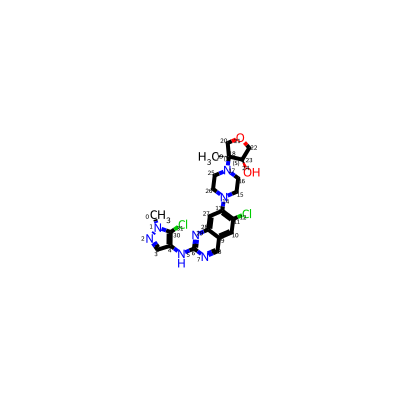 Cn1ncc(Nc2ncc3cc(Cl)c(N4CCN([C@@]5(C)COC[C@H]5O)CC4)cc3n2)c1Cl